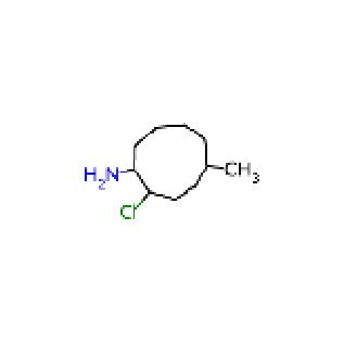 CC1CCCCC(N)C(Cl)CC1